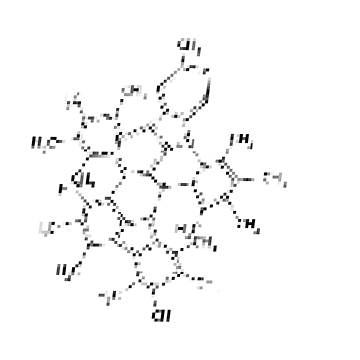 Cc1ccc2c(c1)c1c3c(C)c(C)c(C)c(C)c3c3c4c1n2-c1c(C)c(C)c(C)c(C)c1B4n1c2c(C)c(C)c(C)c(C)c2c2c(C)c(C)c(C)c-3c21